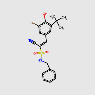 CC(C)(C)c1cc(/C=C(\C#N)S(=O)(=O)NCc2ccccc2)cc(Br)c1O